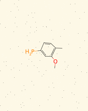 COc1cc(P)ccc1C